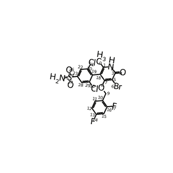 Cc1[nH]c(=O)c(Br)c(OCc2ccc(F)cc2F)c1-c1c(Cl)cc(S(N)(=O)=O)cc1Cl